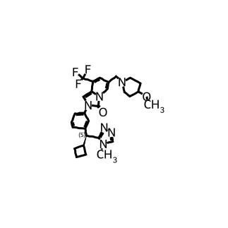 COC1CCN(Cc2cc(C(F)(F)F)c3cn(-c4cccc([C@@H](c5nncn5C)C5CCC5)c4)c(=O)n3c2)CC1